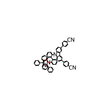 N#Cc1ccc(-c2ccc3c(c2)c2cc(-c4ccc(C#N)cc4)ccc2n3-c2cccc(-c3cc(-c4ccccc4)nc(-c4ccccc4)n3)c2-c2ccccc2-n2c3ccccc3c3ccccc32)cc1